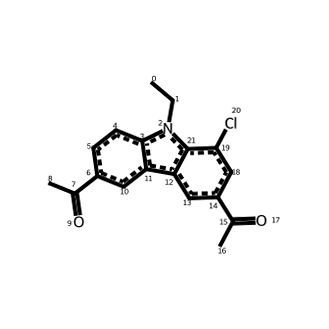 CCn1c2ccc(C(C)=O)cc2c2cc(C(C)=O)cc(Cl)c21